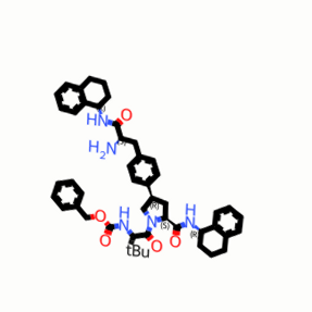 CC(C)(C)C(NC(=O)OCc1ccccc1)C(=O)N1C[C@@H](c2ccc(C[C@H](N)C(=O)N[C@@H]3CCCc4ccccc43)cc2)C[C@H]1C(=O)N[C@@H]1CCCc2ccccc21